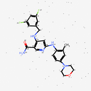 Cc1cc(N2CCOCC2)ccc1Nc1cc(NCc2cc(F)cc(F)c2)c(C(N)=O)cn1